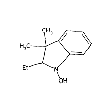 CCC1N(O)c2ccccc2C1(C)C